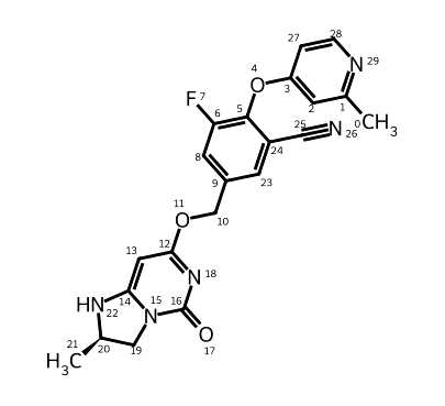 Cc1cc(Oc2c(F)cc(COc3cc4n(c(=O)n3)C[C@@H](C)N4)cc2C#N)ccn1